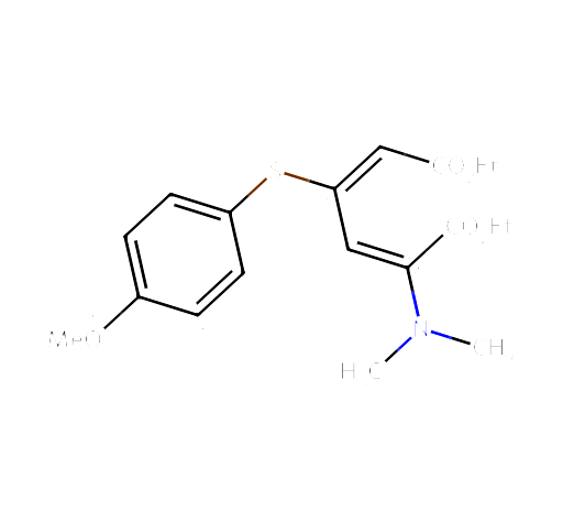 CCOC(=O)C=C(C=C(C(=O)OCC)N(C)C)Sc1ccc(OC)cc1